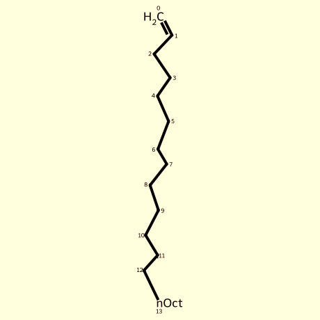 C=CCCCCCCCCC[CH]CCCCCCCCC